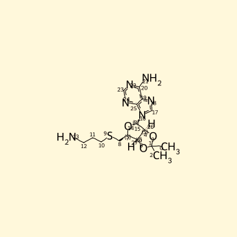 CC1(C)O[C@H]2[C@H](O1)[C@@H](CSCCCN)O[C@H]2n1cnc2c(N)ncnc21